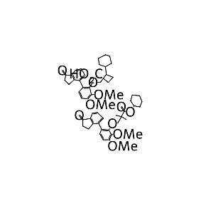 COc1ccc(-c2cccc3c2CCC3=O)c(OCC(C)(C)C(=O)OC2CCCCC2)c1OC.COc1ccc(-c2cccc3c2CCC3=O)c(OCC2(C(=O)O)CCC2C2CCCCC2)c1OC